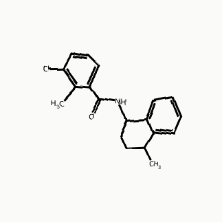 Cc1c(Cl)cccc1C(=O)NC1CCC(C)c2ccccc21